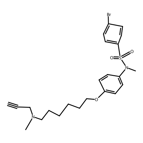 C#CCN(C)CCCCCCOc1ccc(N(C)S(=O)(=O)c2ccc(Br)cc2)cc1